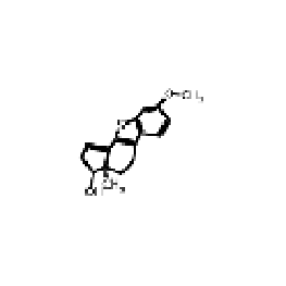 COc1ccc2c3c(sc2c1)C1=CC[C@H](O)[C@@]1(C)CC3